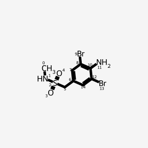 CNS(=O)(=O)Cc1cc(Br)c(N)c(Br)c1